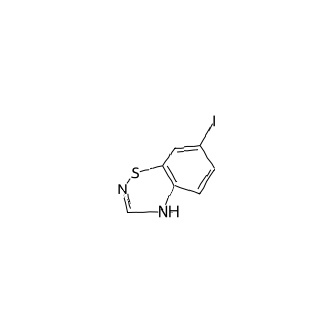 Ic1ccc2c(c1)SN=CN2